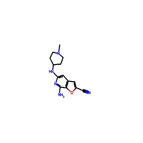 CN1CCC(Nc2cc3cc(C#N)oc3c(N)n2)CC1